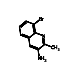 Cc1nc2c(Br)cccc2cc1N